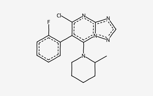 CC1CCCCN1c1c(-c2ccccc2F)c(Cl)nc2ncnn12